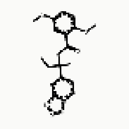 CCC(C)(CC(=O)c1cc(OC)ccc1OC)c1ccc2nsnc2c1